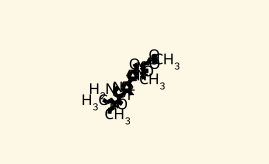 CCCN(CCC)C(=O)C1=Cc2c(F)cc(-c3ccc4c(=O)n(CCCS(C)(=O)=O)c(=O)n(C)c4c3)cc2N=C(N)C1